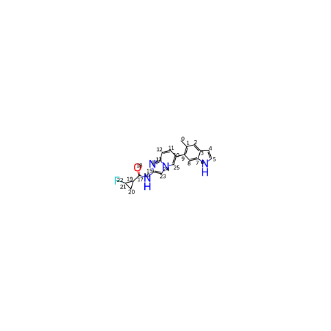 Cc1cc2cc[nH]c2cc1-c1ccc2nc(NC(=O)C3CC3F)cn2c1